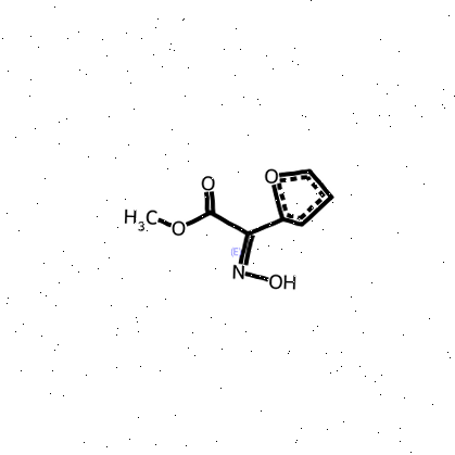 COC(=O)/C(=N/O)c1ccco1